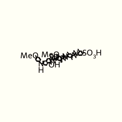 COc1ccc(Nc2ccc3c(O)c(N=Nc4cc(C)c(N=Nc5cc(C)c(N=Nc6ccc(S(=O)(=O)O)cc6C)cc5C)cc4OC)c(S(=O)(=O)O)cc3c2)cc1